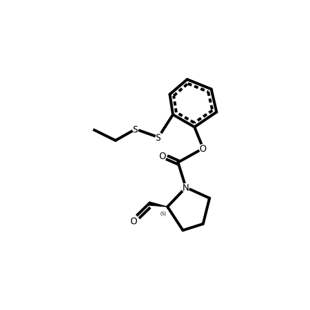 CCSSc1ccccc1OC(=O)N1CCC[C@H]1C=O